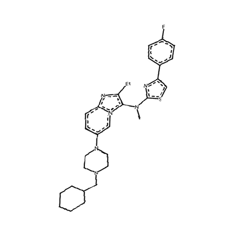 CCc1nc2ccc(N3CCN(CC4CCCCC4)CC3)cn2c1N(C)c1nc(-c2ccc(F)cc2)cs1